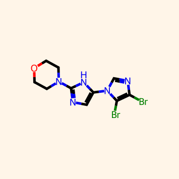 Brc1ncn(-c2cnc(N3CCOCC3)[nH]2)c1Br